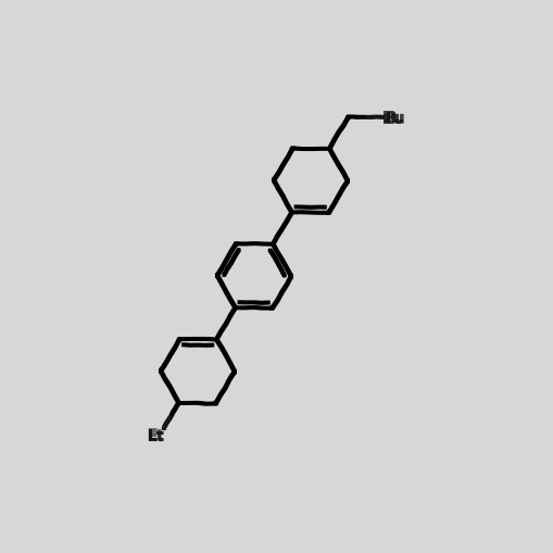 CCC(C)CC1CC=C(c2ccc(C3=CCC(CC)CC3)cc2)CC1